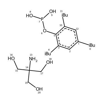 CCC(C)c1cc(C(C)CC)c(OP(O)O)c(C(C)CC)c1.NC(CO)(CO)CO